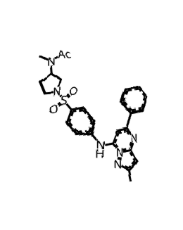 CC(=O)N(C)C1CCN(S(=O)(=O)c2ccc(Nc3cc(-c4ccccc4)nc4cc(C)nn34)cc2)C1